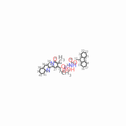 CCC(OP(=O)(O)CNC(=O)OCC1c2ccccc2-c2ccccc21)c1cc2n(c(=O)c1C)Cc1cc3ccccc3nc1-2